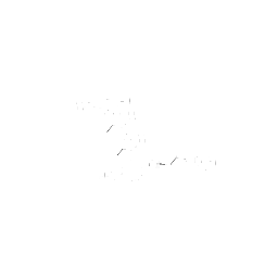 C=C(C)C(=O)O.C=C(C)C(=O)O.CC=C(C)C(=O)O.OC1CCC(O)CC1.OCCO